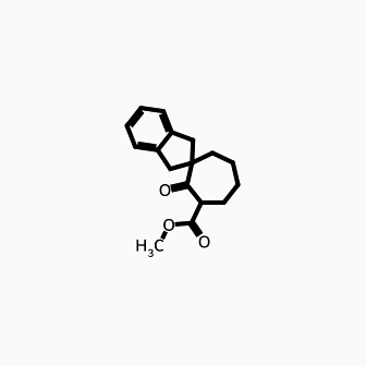 COC(=O)C1CCCCC2(Cc3ccccc3C2)C1=O